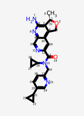 C[C@@H]1OCc2c1c(N)nc1cnc(C(=O)N(Cc3ccc(C4CC4)cn3)C3CC3)cc21